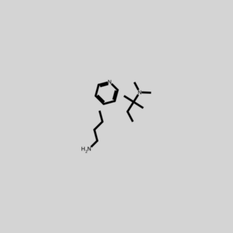 CCC(C)(C)N(C)C.CCCCN.c1ccncc1